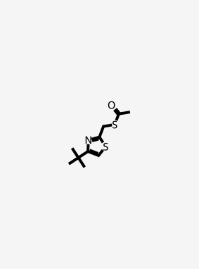 CC(=O)SCc1nc(C(C)(C)C)cs1